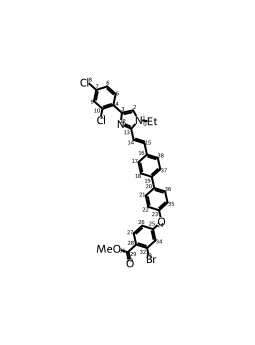 CCn1cc(-c2ccc(Cl)cc2Cl)nc1/C=C/c1ccc(-c2ccc(Oc3ccc(C(=O)OC)c(Br)c3)cc2)cc1